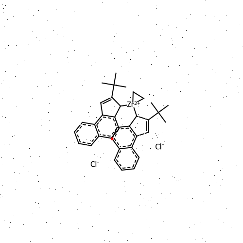 CC(C)(C)C1=Cc2c(ccc3ccccc23)[CH]1[Zr+2]1([CH]2C(C(C)(C)C)=Cc3c2ccc2ccccc32)[CH2][CH2]1.[Cl-].[Cl-]